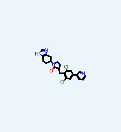 O=C1C(Cc2c(Cl)cc(-c3cccnc3)cc2Cl)CCN1C1CCc2[nH]cnc2C1